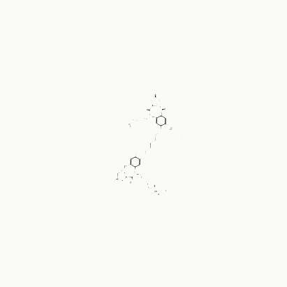 COc1cc2c(cc1OCCCCCOc1cc3c(cc1C)C(=O)N1CC(=O)C[C@H]1C(=O)N3COCC[Si](C)(C)C)N(COCC[Si](C)(C)C)C(=O)[C@@H]1CC(=O)CN1C2=O